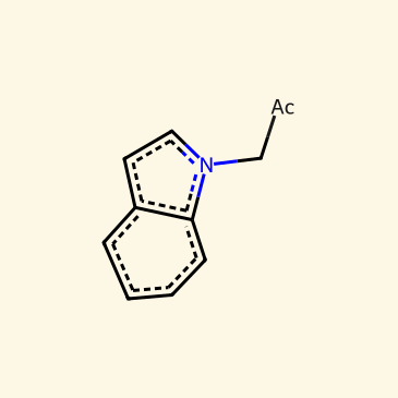 CC(=O)Cn1ccc2ccccc21